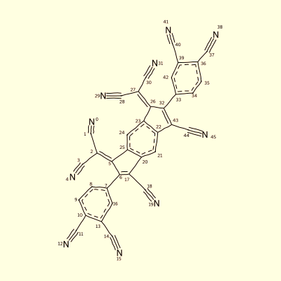 N#CC(C#N)=C1C(c2ccc(C#N)c(C#N)c2)=C(C#N)c2cc3c(cc21)C(=C(C#N)C#N)C(c1ccc(C#N)c(C#N)c1)=C3C#N